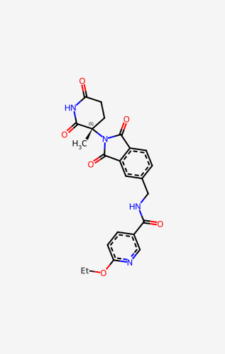 CCOc1ccc(C(=O)NCc2ccc3c(c2)C(=O)N([C@@]2(C)CCC(=O)NC2=O)C3=O)cn1